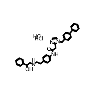 Cl.Cl.O=C(Cc1nccn1Cc1ccc(-c2ccccc2)cc1)Nc1ccc(CCNCC(O)c2ccccc2)cc1